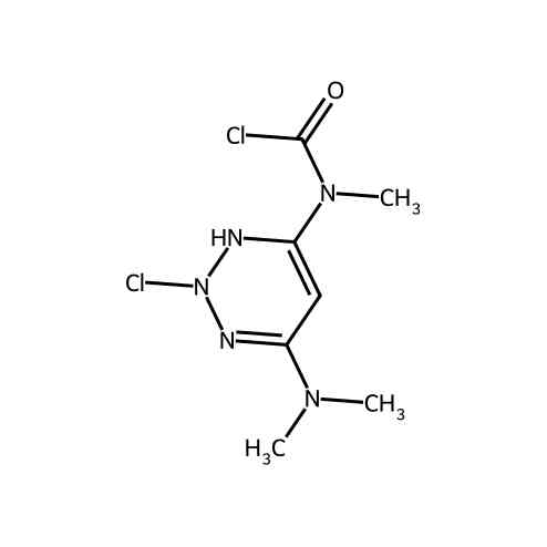 CN(C)C1=NN(Cl)NC(N(C)C(=O)Cl)=C1